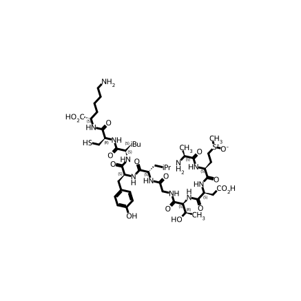 CC[C@H](C)[C@H](NC(=O)[C@H](Cc1ccc(O)cc1)NC(=O)[C@H](CC(C)C)NC(=O)CNC(=O)[C@@H](NC(=O)[C@H](CC(=O)O)NC(=O)[C@H](CC[S+](C)[O-])NC(=O)[C@H](C)N)[C@@H](C)O)C(=O)N[C@@H](CS)C(=O)N[C@@H](CCCCN)C(=O)O